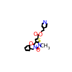 Cn1c(=O)n(Cc2ccccc2)c(=O)c2cc(C(=O)OCCc3ccncc3)sc21